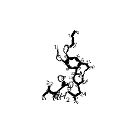 CCCOc1cc2c(cc1OC)C1CC(OC(=O)[C@@H](N)C(C)C)C(CC(C)C)CN1CC2